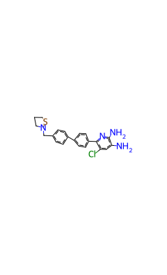 Nc1cc(Cl)c(-c2ccc(-c3ccc(CN4CCCS4)cc3)cc2)nc1N